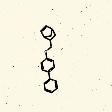 C1=CC2CC1CC2COc1ccc(-c2ccccc2)cc1